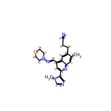 Cc1cc2nc(-c3cncn3C)cc(/C=N/N3CCOCC3)c2cc1CCC#N